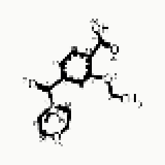 CCOc1cc(C(=O)N2CC3CCCC2CO3)ccc1C(=O)O